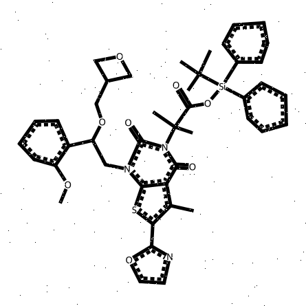 COc1ccccc1C(Cn1c(=O)n(C(C)(C)C(=O)O[Si](c2ccccc2)(c2ccccc2)C(C)(C)C)c(=O)c2c(C)c(-c3ncco3)sc21)OCC1COC1